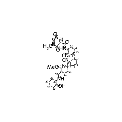 COc1nc(-c2cccc(-c3cccc(NC(=O)c4cc(Cl)nn(C)c4=O)c3Cl)c2Cl)ccc1CNC1CCCCC1O